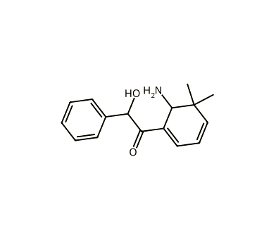 CC1(C)C=CC=C(C(=O)C(O)c2ccccc2)C1N